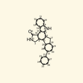 O=C1NCc2c3c(c4[nH]c5ccccc5c4c21)Cc1ccc(-c2ccccc2)cc1-3